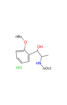 CCCCCCCCNC(C)C(O)c1ccccc1OCCCC.Cl